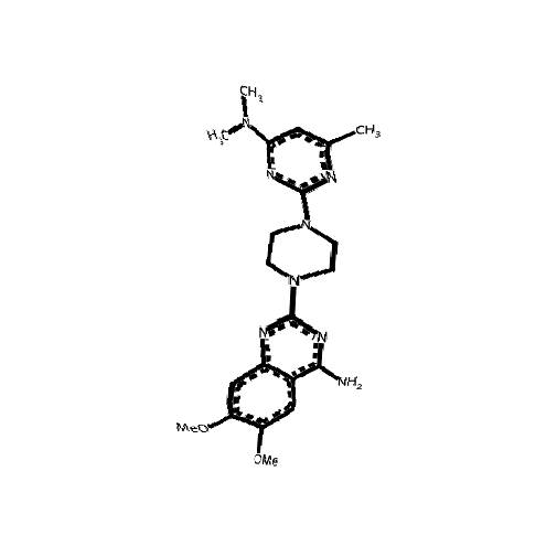 COc1cc2nc(N3CCN(c4nc(C)cc(N(C)C)n4)CC3)nc(N)c2cc1OC